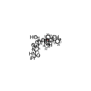 CC(C)C(=O)Nc1ccn([C@H]2C[C@@H](O[P@]3O[C@@H](CS(C)(c4ccccc4)c4ccccc4)[C@H]4CCCN43)[C@@H](CO)O2)c(=O)n1